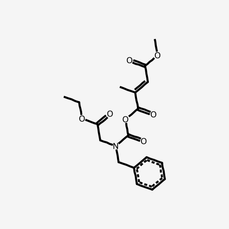 CCOC(=O)CN(Cc1ccccc1)C(=O)OC(=O)/C(C)=C/C(=O)OC